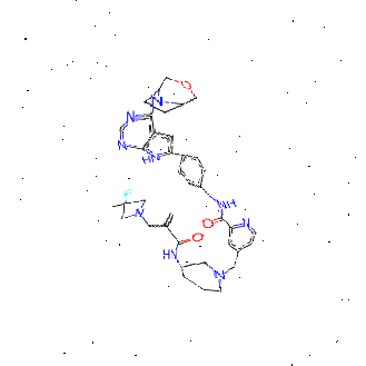 C=C(CN1CC(C)(F)C1)C(=O)N[C@@H]1CCCN(Cc2ccnc(C(=O)Nc3ccc(-c4cc5c(N6C7CCC6COC7)ncnc5[nH]4)cc3)c2)C1